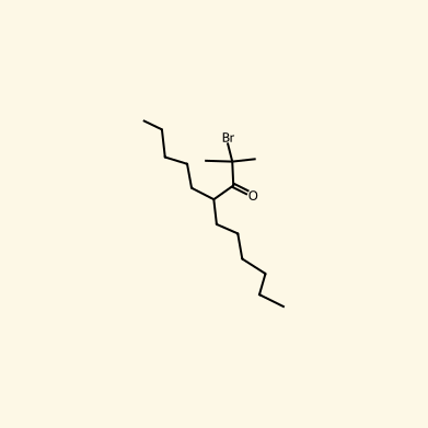 CCCCCCC(CCCCC)C(=O)C(C)(C)Br